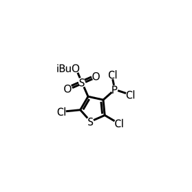 CC(C)COS(=O)(=O)c1c(Cl)sc(Cl)c1P(Cl)Cl